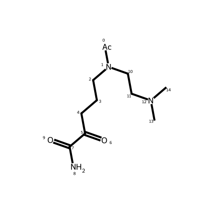 CC(=O)N(CCCC(=O)C(N)=O)CCN(C)C